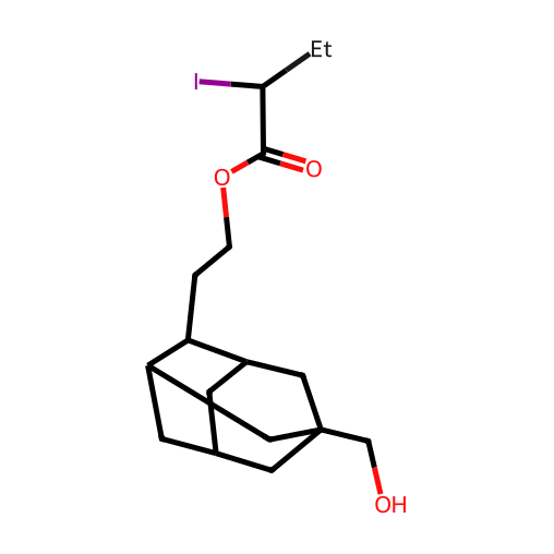 CCC(I)C(=O)OCCC1C2CC3CC1CC(CO)(C3)C2